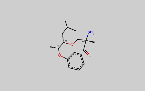 CC(C)C[C@H](OC[C@](C)(N)C=O)[C@@H](C)Oc1ccccc1